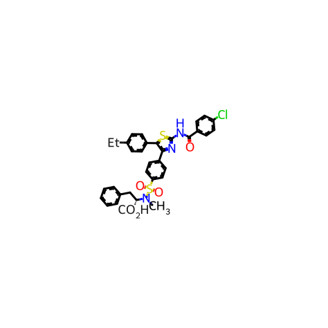 CCc1ccc(-c2sc(NC(=O)c3ccc(Cl)cc3)nc2-c2ccc(S(=O)(=O)N(C)[C@@H](Cc3ccccc3)C(=O)O)cc2)cc1